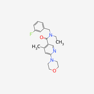 CCN(Cc1cccc(F)c1)C(=O)c1cnc(N2CCOCC2)cc1C